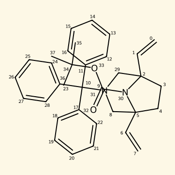 C=CC12CCC(C=C)(CN(C(c3ccccc3)(c3ccccc3)c3ccccc3)C1)N2C(=O)OC(C)(C)C